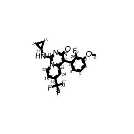 COc1cccc(-c2c(=O)nc(NC3CC3)n3ccc(C(F)(F)F)cc23)c1F